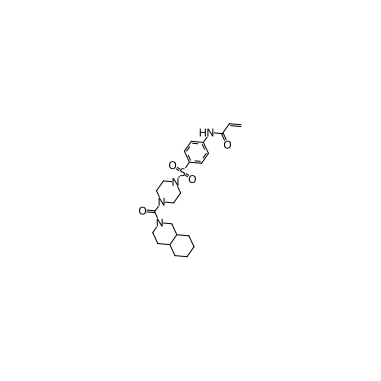 C=CC(=O)Nc1ccc(S(=O)(=O)N2CCN(C(=O)N3CCC4CCCCC4C3)CC2)cc1